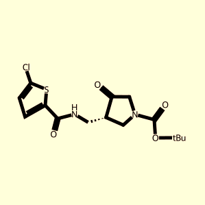 CC(C)(C)OC(=O)N1CC(=O)[C@@H](CNC(=O)c2ccc(Cl)s2)C1